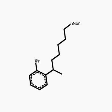 CCCCCCCCCCCCCCC(C)c1ccccc1C(C)C